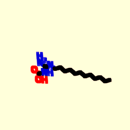 CCCCCCCCCCCCN=C(N)NC(=O)O